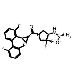 C[S+]([O-])NC1CN(C(=O)C2CC2c2c(F)cccc2-c2c(F)cccc2F)CC1(F)F